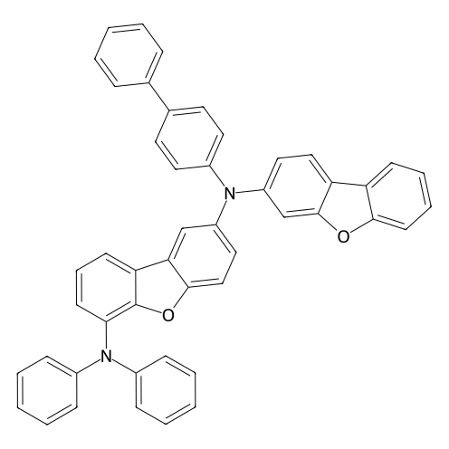 c1ccc(-c2ccc(N(c3ccc4c(c3)oc3ccccc34)c3ccc4oc5c(N(c6ccccc6)c6ccccc6)cccc5c4c3)cc2)cc1